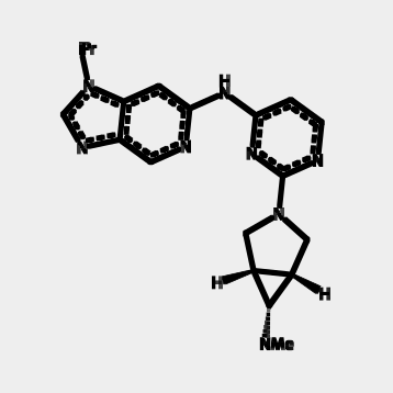 CN[C@@H]1[C@@H]2CN(c3nccc(Nc4cc5c(cn4)ncn5C(C)C)n3)C[C@@H]21